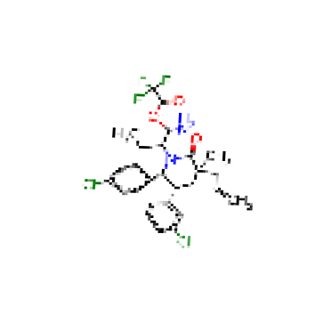 C=CC[C@@]1(C)C[C@H](c2cccc(Cl)c2)[C@@H](c2ccc(Cl)cc2)N([C@@H](CC)C(N)OC(=O)C(F)(F)F)C1=O